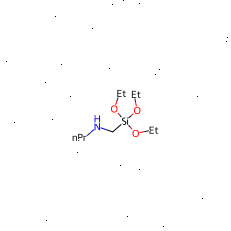 CCCNC[Si](OCC)(OCC)OCC